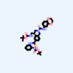 CC(C)(C)OC(=O)NCCCN(Cc1ccc(C(=O)Nc2ccccc2NC(=O)OC(C)(C)C)cc1)C(=O)Nc1ccc2c(c1)OCCO2